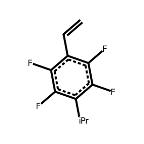 C=Cc1c(F)c(F)c(C(C)C)c(F)c1F